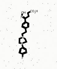 O=C(O)CCC(=NO)c1ccc(CCN2CCN(c3ccc(F)cc3)CC2)cc1